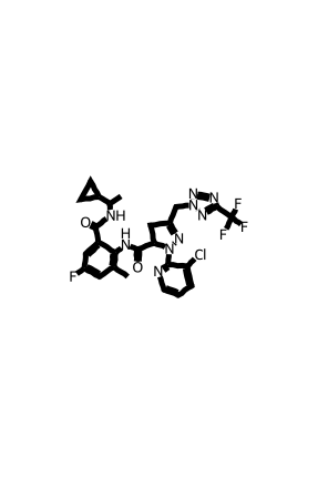 Cc1cc(F)cc(C(=O)NC(C)C2CC2)c1NC(=O)C1CC(Cn2nnc(C(F)(F)F)n2)=NN1c1ncccc1Cl